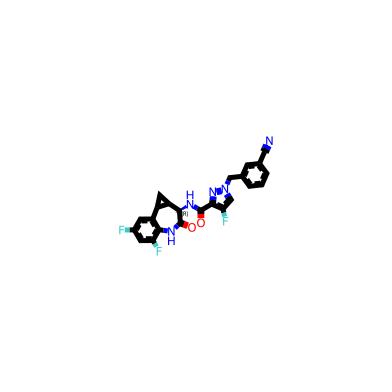 N#Cc1cccc(Cn2cc(F)c(C(=O)N[C@H]3C(=O)Nc4c(F)cc(F)cc4C4CC43)n2)c1